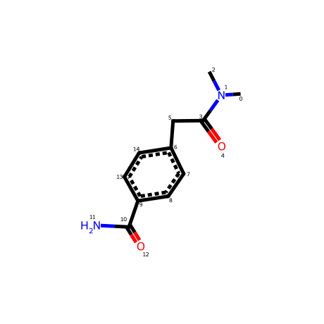 CN(C)C(=O)Cc1ccc(C(N)=O)cc1